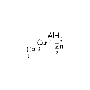 [AlH3].[Ce].[Cu].[Zn]